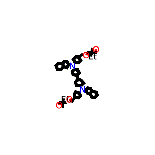 CCC1(COCc2ccc(N(c3ccc(-c4ccc(N(c5ccc(COCC6(CC)COC6)cc5)c5ccc6ccccc6c5)cc4)cc3)c3ccc4ccccc4c3)cc2)COC1